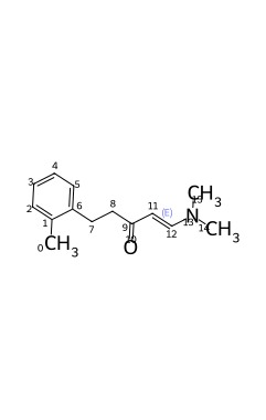 Cc1ccccc1CCC(=O)/C=C/N(C)C